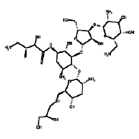 NC[C@@H]1O[C@H](O[C@H]2[C@@H](O)[C@H](O[C@@H]3[C@@H](O)[C@H](NC(=O)C(O)[C@@H](F)CN)C[C@H](N)[C@H]3O[C@H]3O[C@H](CNCC(O)CO)[C@@H](O)C[C@H]3N)O[C@@H]2CO)[C@H](N)[C@@H](O)[C@@H]1O